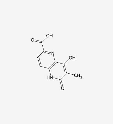 Cc1c(O)c2nc(C(=O)O)ccc2[nH]c1=O